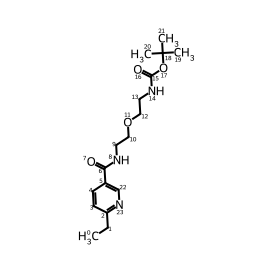 CCc1ccc(C(=O)NCCOCCNC(=O)OC(C)(C)C)cn1